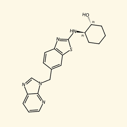 O[C@@H]1CCCC[C@H]1Nc1nc2ccc(Cn3cnc4cccnc43)cc2s1